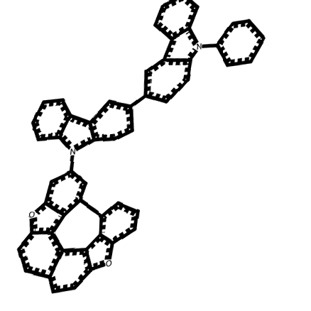 c1ccc(-n2c3ccccc3c3cc(-c4ccc5c(c4)c4ccccc4n5-c4cc5c6c(c4)oc4ccc7ccc8oc9cccc-5c9c8c7c46)ccc32)cc1